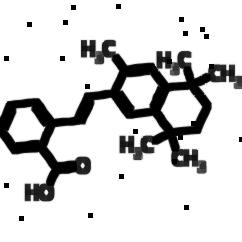 Cc1cc2c(cc1C=Cc1ccccc1C(=O)O)C(C)(C)CCC2(C)C